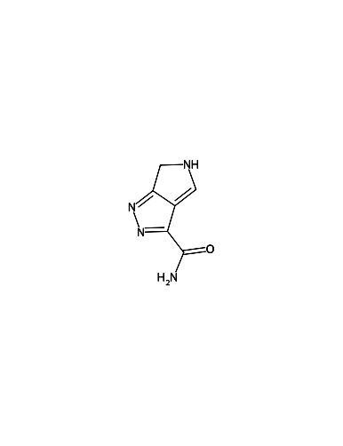 NC(=O)C1=NN=C2CNC=C21